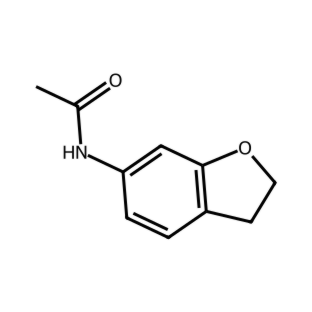 CC(=O)Nc1ccc2c(c1)OCC2